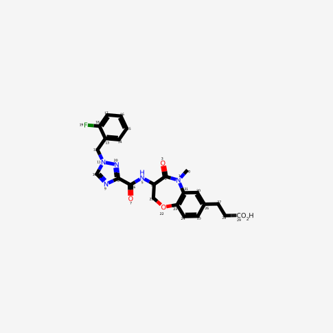 CN1C(=O)C(NC(=O)c2ncn(Cc3ccccc3F)n2)COc2ccc(CCC(=O)O)cc21